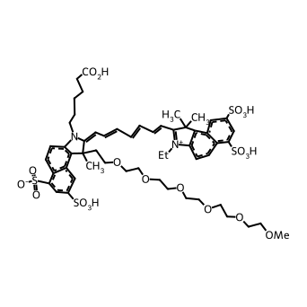 CC[N+]1=C(/C=C/C=C/C=C/C=C2/N(CCCCCC(=O)O)c3ccc4c(S(=O)(=O)[O-])cc(S(=O)(=O)O)cc4c3C2(C)CCOCCOCCOCCOCCOCCOC)C(C)(C)c2c1ccc1c(S(=O)(=O)O)cc(S(=O)(=O)O)cc21